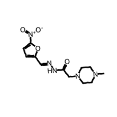 CN1CCN(CC(=O)N/N=C/c2ccc([N+](=O)[O-])o2)CC1